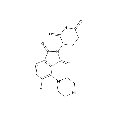 O=C1CCC(N2C(=O)c3ccc(F)c(N4CCNCC4)c3C2=O)C(=O)N1